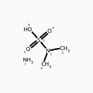 CN(C)S(=O)(=O)O.N